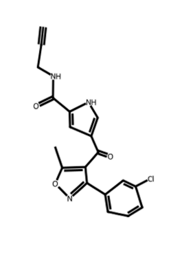 C#CCNC(=O)c1cc(C(=O)c2c(-c3cccc(Cl)c3)noc2C)c[nH]1